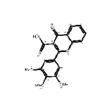 COc1cc(-c2oc3ccccc3c(=O)c2C(N)=O)cc(OC)c1OC